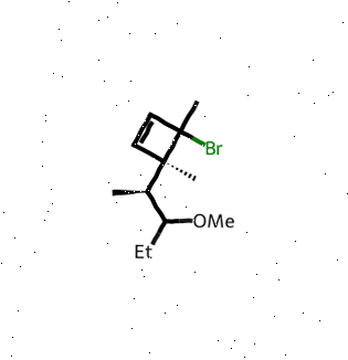 CCC(OC)[C@@H](C)[C@@]1(C)C=CC1(C)Br